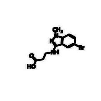 Cn1nc(NCCC(=O)O)c2cc(Br)ccc21